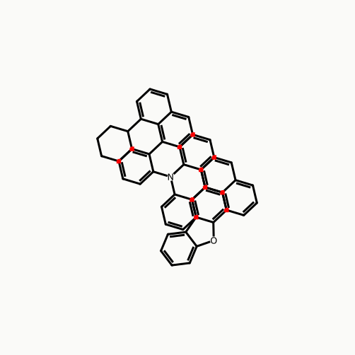 c1ccc(N(c2ccccc2-c2cccc3ccccc23)c2ccccc2-c2cccc3cccc(C4CCCCC4)c23)c(-c2ccc3oc4ccccc4c3c2)c1